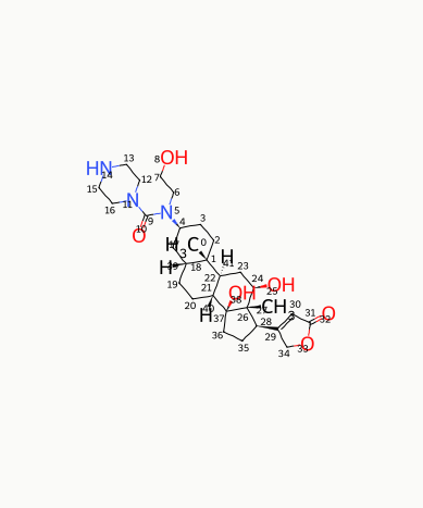 C[C@]12CC[C@H](N(CCO)C(=O)N3CCNCC3)C[C@H]1CC[C@@H]1[C@@H]2C[C@@H](O)[C@]2(C)[C@@H](C3=CC(=O)OC3)CC[C@]12O